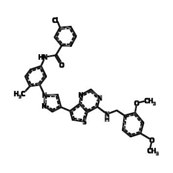 COc1ccc(CNc2ncnc3c(-c4cnn(-c5cc(NC(=O)c6cccc(Cl)c6)ccc5C)c4)csc23)c(OC)c1